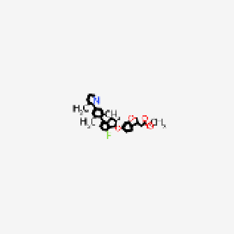 COC(=O)CC1COc2cc(O[C@@H]3CCc4c(-c5c(C)cc(-c6ncccc6C)cc5C)ccc(F)c43)ccc21